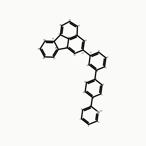 c1ccc(-c2ccc(-c3cccc(-c4cc5c6c(cccc6c4)-c4ccccc4-5)c3)cc2)nc1